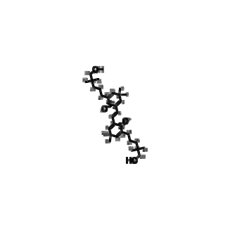 CC1(C)C=C(C=CC2=CC(C)(C)C=C(CCCC(C)(C)CO)[S+]2[O-])[S+]([O-])C(CCCC(C)(C)CO)=C1